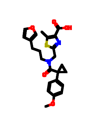 COc1ccc(C2(C(=O)N(CCCc3ccoc3)Cc3nc(C(=O)O)c(C)s3)CC2)cc1